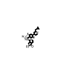 CCN1Cc2c(ccnc2N[C@@H](C)c2cc(F)c(-c3ccnc(CC4CC4)c3)cc2F)C1=O